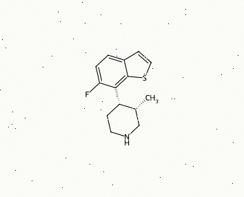 C[C@@H]1CNCC[C@@H]1c1c(F)ccc2ccsc12